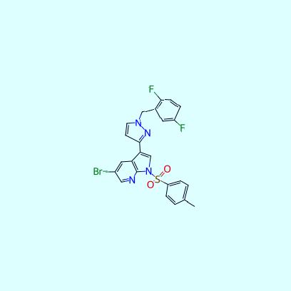 Cc1ccc(S(=O)(=O)n2cc(-c3ccn(Cc4cc(F)ccc4F)n3)c3cc(Br)cnc32)cc1